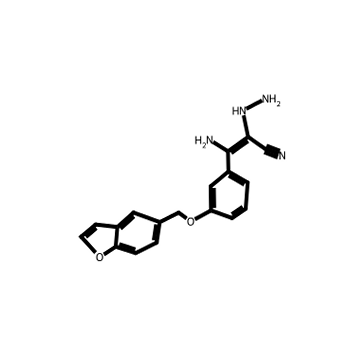 N#C/C(NN)=C(/N)c1cccc(OCc2ccc3occc3c2)c1